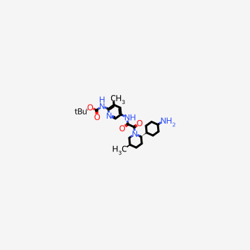 Cc1cc(NC(=O)C(=O)N2C[C@H](C)CC[C@H]2C2CCC(N)CC2)cnc1NC(=O)OC(C)(C)C